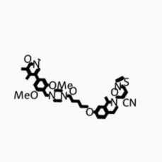 COc1cc(-c2cn(C)c(=O)c(C)c2C)cc(OC)c1CN1CCN(C(=O)CCCCOc2ccc3c(c2)C(C)N(C(=O)/C(C#N)=C\c2nccs2)CC3)CC1